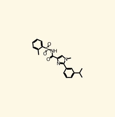 Cc1ccccc1S(=O)(=O)NC(=O)c1cn(C)c(-c2cccc(C(C)C)c2)n1